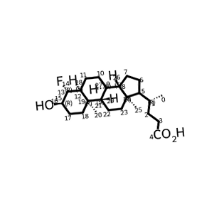 C[C@H](CCC(=O)O)C1CC[C@H]2[C@@H]3CC[C@@H]4[C@@H](F)[C@H](O)CC[C@]4(C)[C@H]3CC[C@]12C